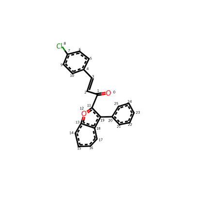 O=C(/C=C/c1ccc(Cl)cc1)c1oc2ccccc2c1-c1ccccc1